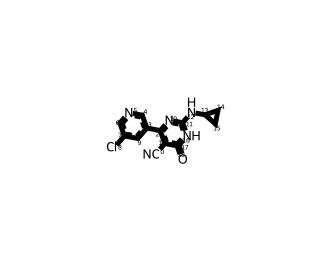 N#Cc1c(-c2cncc(Cl)c2)nc(NC2CC2)[nH]c1=O